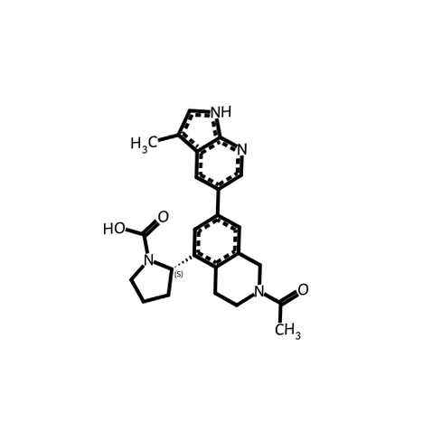 CC(=O)N1CCc2c(cc(-c3cnc4[nH]cc(C)c4c3)cc2[C@@H]2CCCN2C(=O)O)C1